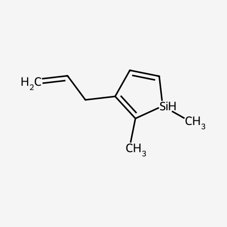 C=CCC1=C(C)[SiH](C)C=C1